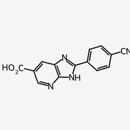 N#Cc1ccc(-c2nc3cc(C(=O)O)cnc3[nH]2)cc1